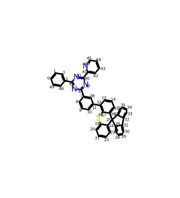 c1ccc(-c2nc(-c3cccc(-c4cccc5c4Sc4ccccc4C54c5ccccc5-c5ccccc54)c3)nc(-c3ccccn3)n2)cc1